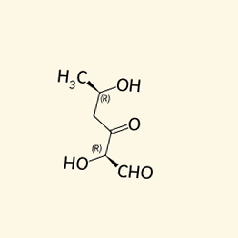 C[C@@H](O)CC(=O)[C@H](O)C=O